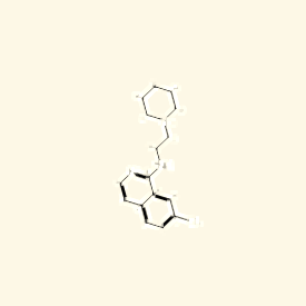 Clc1ccc2ccnc(NCCN3CCCCC3)c2c1